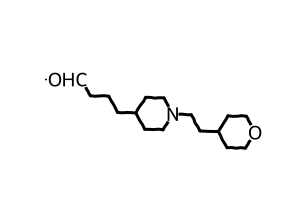 O=[C]CCCC1CCN(CCC2CCOCC2)CC1